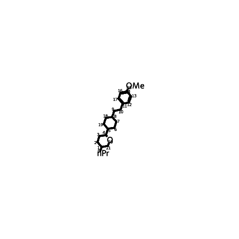 CCCC1CCC(C2CCC(CCc3ccc(OC)cc3)CC2)OC1